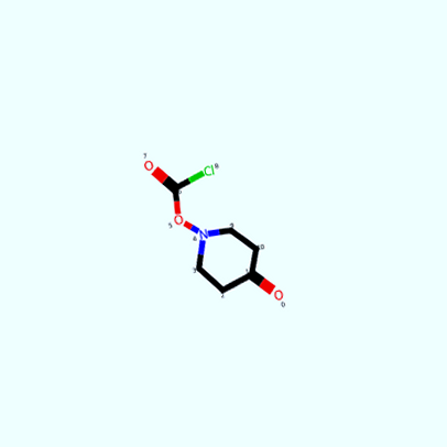 O=C1CCN(OC(=O)Cl)CC1